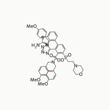 COc1ccc(CN(Cc2ccc(OC)cc2)S(=O)(=O)c2c(S(=O)(=O)CCN3CCOCC3)ccc(-c3cccc4sc(N)nc34)c2-c2nnnn2Cc2ccc(OC)cc2)cc1